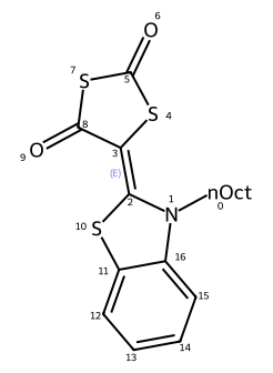 CCCCCCCCN1/C(=C2\SC(=O)SC2=O)Sc2ccccc21